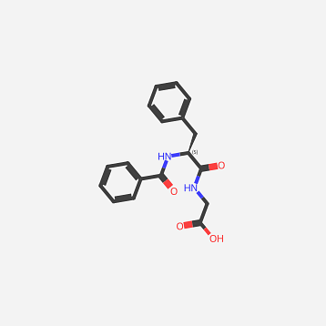 O=C(O)CNC(=O)[C@H](Cc1ccccc1)NC(=O)c1ccccc1